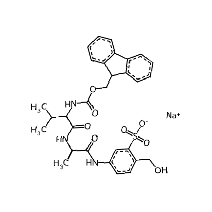 CC(NC(=O)C(NC(=O)OCC1c2ccccc2-c2ccccc21)C(C)C)C(=O)Nc1ccc(CO)c(S(=O)(=O)[O-])c1.[Na+]